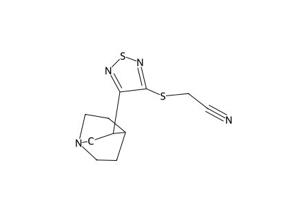 N#CCSc1nsnc1C1CN2CCC1CC2